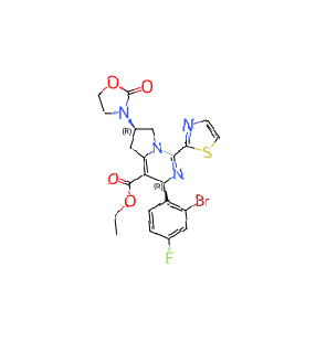 CCOC(=O)C1=C2C[C@@H](N3CCOC3=O)CN2C(c2nccs2)=N[C@H]1c1ccc(F)cc1Br